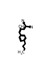 CCCCc1ccc(C=C(C)C=C(C#N)C#N)cc1